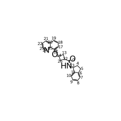 O=C(NC1CCc2ccccc21)C1CC(Oc2cccc3cccnc23)C1